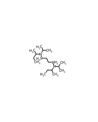 CCC(C)N([SiH2]CC[SiH2]N(C(C)C)C(C)CC)C(C)C